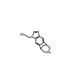 CC(C)(C)Cn1cnc2cc3c(cc21)C1CNCC3C1